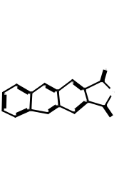 O=C1NC(=O)c2cc3cc4ccccc4cc3cc21